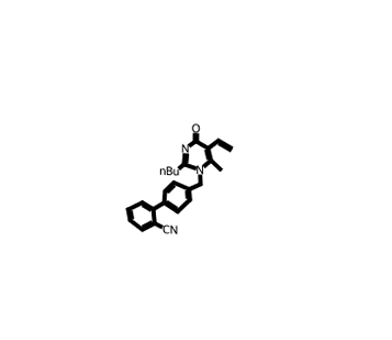 C=Cc1c(C)n(Cc2ccc(-c3ccccc3C#N)cc2)c(CCCC)nc1=O